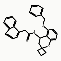 O=C(Cc1cccc2ccccc12)NC1CC2(CCC2)Oc2cccc(OCc3ccccc3)c21